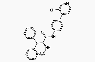 O=C(O)N[C@H](C(=O)Nc1ccc(-c2ccncc2Cl)cc1)C(c1ccccc1)c1ccccc1